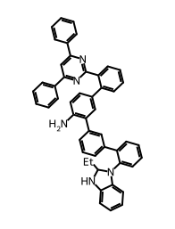 CCC1Nc2ccccc2N1c1ccccc1-c1cccc(-c2cc(-c3ccccc3-c3nc(-c4ccccc4)cc(-c4ccccc4)n3)ccc2N)c1